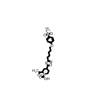 CC(C)C1CC(c2nc(CCCCCOc3ccc(S(C)(=O)=O)cc3)no2)CCN1C(=O)O